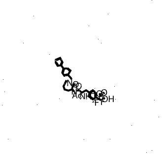 CC(=O)N(C(=O)[C@@H](N)Cc1ccc(C(F)(F)P(=O)(O)O)cc1)C1CCCCN(Cc2ccc(-c3ccccc3)cc2)C1=O